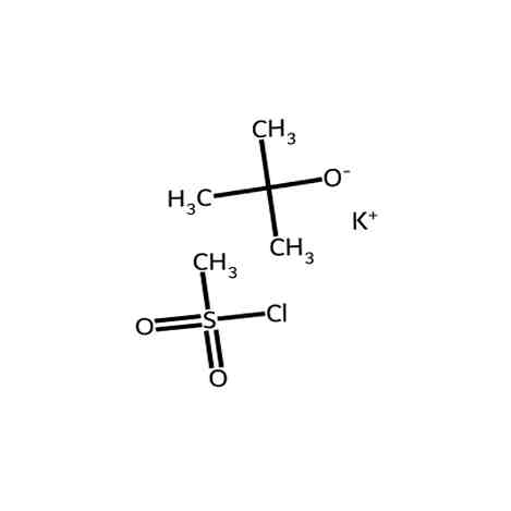 CC(C)(C)[O-].CS(=O)(=O)Cl.[K+]